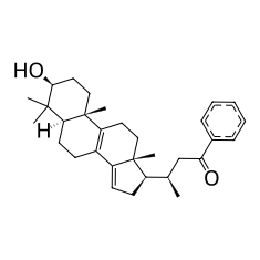 C[C@H](CC(=O)c1ccccc1)[C@H]1CC=C2C3=C(CC[C@@]21C)[C@@]1(C)CC[C@H](O)C(C)(C)[C@@H]1CC3